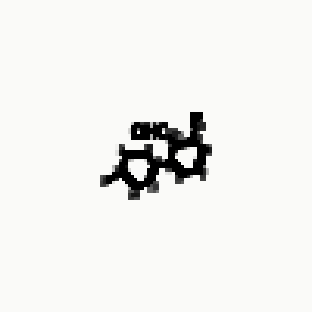 Cc1ccc(-c2cccc(F)c2C=O)cc1